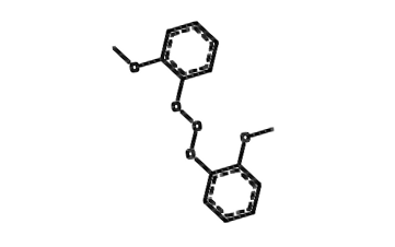 COc1ccccc1OOOc1ccccc1OC